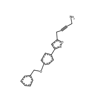 NCC#CCc1cc(-c2ccc(OCc3ccccc3)cc2)no1